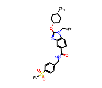 CCS(=O)(=O)c1ccc(CNC(=O)c2ccc3c(c2)nc(O[C@H]2CC[C@@H](C(F)(F)F)CC2)n3CC(C)C)cc1